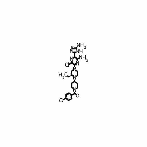 CC[C@H]1CN(c2nc(N)c(-c3nnc(N)[nH]3)nc2Cl)CCN1C1CCN(C(=O)c2ccc(Cl)cc2)CC1